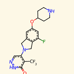 O=c1[nH]ncc(N2Cc3cc(OC4CCNCC4)cc(F)c3C2)c1C(F)(F)F